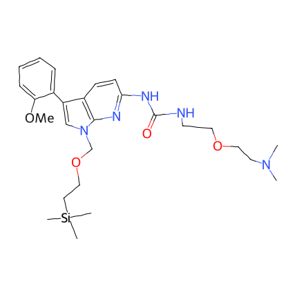 COc1ccccc1-c1cn(COCC[Si](C)(C)C)c2nc(NC(=O)NCCOCCN(C)C)ccc12